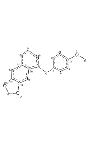 COc1ccc(Cc2nccc3cc4c(cc23)OCO4)cc1